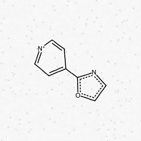 C1=CC(c2ncco2)=CC=[N+]1